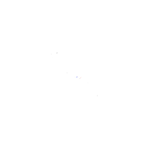 CCCCCCC(=O)NCCCCCCC(C)C